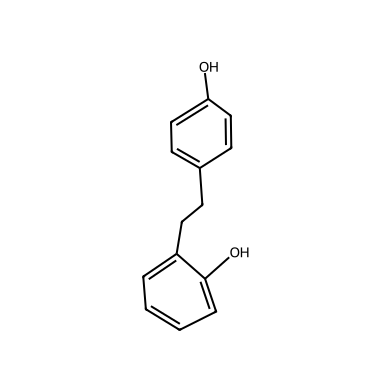 Oc1ccc(CCc2ccccc2O)cc1